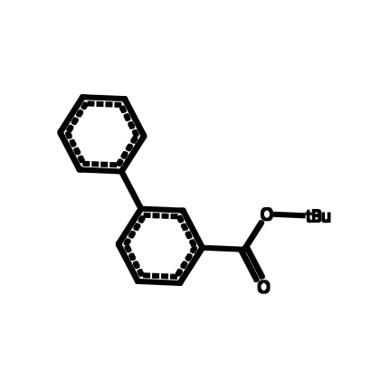 CC(C)(C)OC(=O)c1cccc(-c2ccccc2)c1